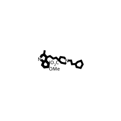 COc1ccc2ncc(C)c(CCCC3(C(=O)O)CCN(CCC4CCCCC4)CC3)c2c1